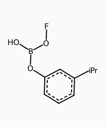 CC(C)c1cccc(OB(O)OF)c1